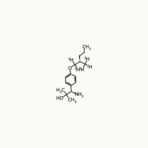 [2H]C([2H])([2H])[C@H](CCC)C([2H])([2H])Oc1ccc([C@@H](N)C(C)(C)O)cc1